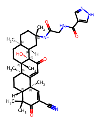 CC1(C)C(=O)C(C#N)=C[C@]2(C)C3=CC(=O)[C@]4(O)[C@@H]5C[C@@](C)(NC(=O)CNC(=O)c6cn[nH]c6)CC[C@]5(C)CC[C@@]4(C)[C@]3(C)CC[C@@H]12